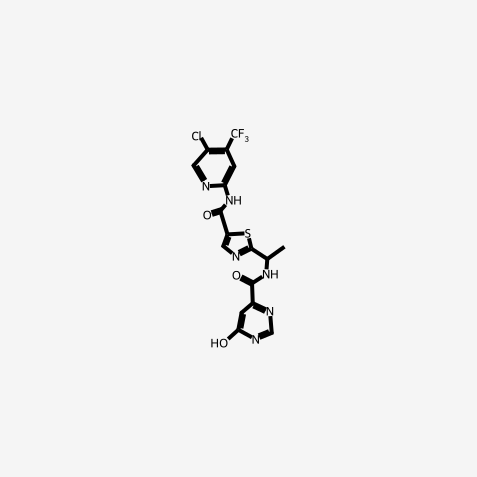 CC(NC(=O)c1cc(O)ncn1)c1ncc(C(=O)Nc2cc(C(F)(F)F)c(Cl)cn2)s1